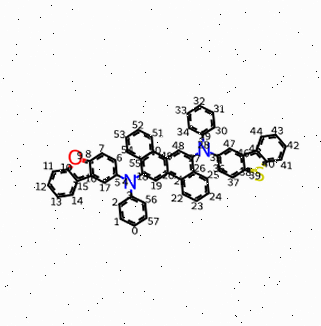 c1ccc(N(c2ccc3oc4ccccc4c3c2)c2cc3c4ccccc4c(N(c4ccccc4)c4ccc5sc6ccccc6c5c4)cc3c3ccccc23)cc1